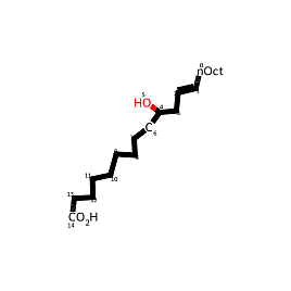 CCCCCCCCC=CCC(O)CCCCCCCCC(=O)O